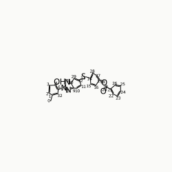 Cc1ccc(O)c(-n2nc3ccc(Sc4ccc(OC(=O)c5ccccc5)cc4)cc3n2)c1